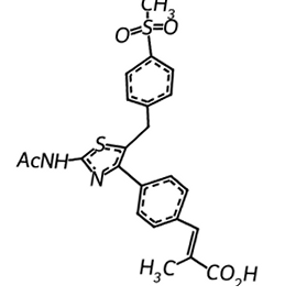 CC(=O)Nc1nc(-c2ccc(/C=C(\C)C(=O)O)cc2)c(Cc2ccc(S(C)(=O)=O)cc2)s1